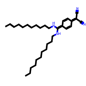 CCCCCCCCCCCNC(NCCCCCCCCCCC)=c1ccc(=C(C#N)C#N)cc1